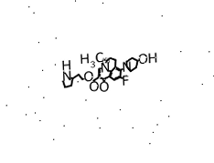 C[C@H]1CCc2c(N3CCC(O)CC3)c(F)cc3c(=O)c(C(=O)OCCC4CCCN4)cn1c23